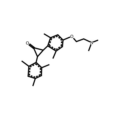 Cc1cc(C)c(C2C(=O)C2c2c(C)cc(OCCN(C)C)cc2C)c(C)c1